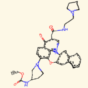 CC(C)(C)OC(=O)NC1CCN(c2ccc3c(=O)c(C(=O)NCCN4CCCC4)cn4c3c2Oc2cc3ccccc3cc2-4)C1